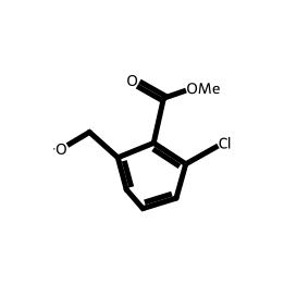 COC(=O)c1c(Cl)cccc1C[O]